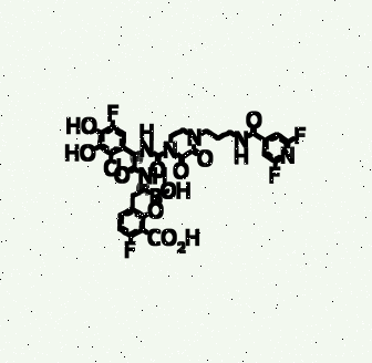 O=C(NCCCN1CCN(C(=O)N[C@H](C(=O)N[C@H]2Cc3ccc(F)c(C(=O)O)c3OB2O)c2cc(F)c(O)c(O)c2Cl)C(=O)C1=O)c1cc(F)nc(F)c1